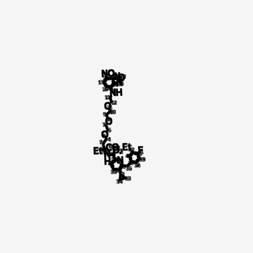 CCOC(=O)[C@](CC)(CCOCCOCCOCCNc1ccc([N+](=O)[O-])c2nonc12)NC(=O)c1ccc(C2CC2)c(Cc2ccc(F)cc2)n1